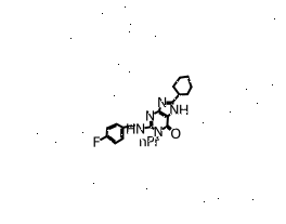 CCCn1c(NCc2ccc(F)cc2)nc2nc(C3CCCCC3)[nH]c2c1=O